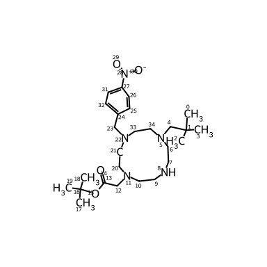 CC(C)(C)CN1CCNCCN(CC(=O)OC(C)(C)C)CCN(Cc2ccc([N+](=O)[O-])cc2)CC1